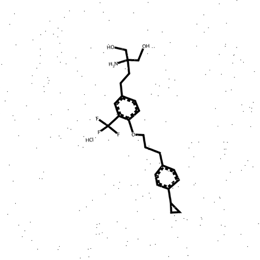 Cl.NC(CO)(CO)CCc1ccc(OCCCc2ccc(C3CC3)cc2)c(C(F)(F)F)c1